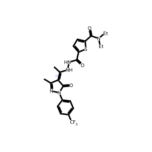 CCN(CC)C(=O)c1ccc(C(=O)NN/C(C)=C2\C(=O)N(c3ccc(C(F)(F)F)cc3)N=C2C)s1